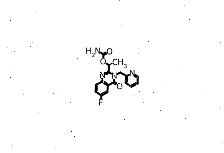 C[C@H](OC(N)=O)c1nc2ccc(F)cc2c(=O)n1Cc1ccccn1